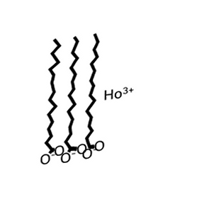 CCCCCCCCCCCCCCCC(=O)[O-].CCCCCCCCCCCCCCCC(=O)[O-].CCCCCCCCCCCCCCCC(=O)[O-].[Ho+3]